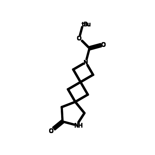 CC(C)(C)OC(=O)N1CC2(C1)CC1(CNC(=O)C1)C2